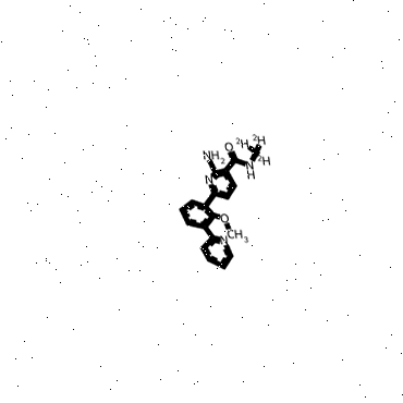 [2H]C([2H])([2H])NC(=O)c1ccc(-c2cccc(-c3ccccn3)c2OC)nc1N